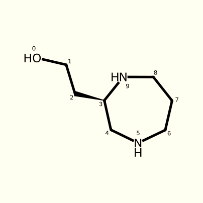 OCC[C@@H]1CNCCCN1